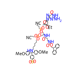 [C-]#[N+]CCCP(OCC(COP(OCCC#N)OCCCCCCNC(c1ccc(OC)cc1)(c1ccc(OC)cc1)c1ccc(S(C)(=O)=O)cc1)NC(=O)CCNC(=O)OCC1c2ccccc2-c2ccccc21)OC[C@@H]1O[C@@H](n2cnc3c(=O)[nH]c(N)nc32)C[C@@H]1OCC